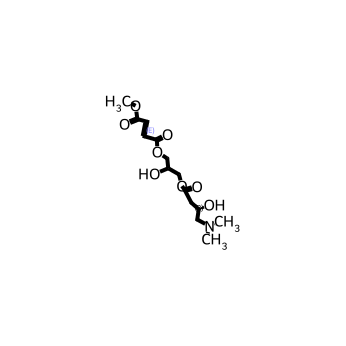 COC(=O)/C=C/C(=O)OCC(O)COC(=O)C[C@@H](O)CN(C)C